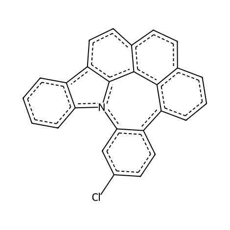 Clc1ccc2c3cccc4ccc5ccc6c7ccccc7n(c2c1)c6c5c43